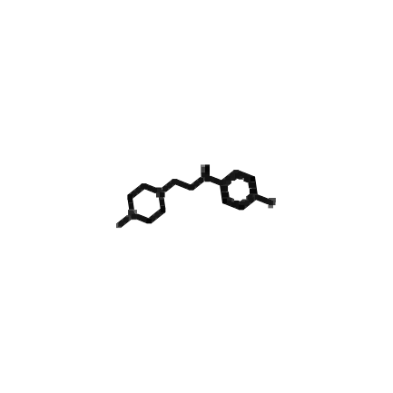 CN1CCN(CCNc2ccc(F)cc2)CC1